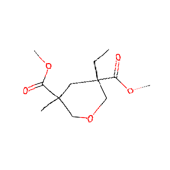 CCC1(C(=O)OC)COCC(C)(C(=O)OC)C1